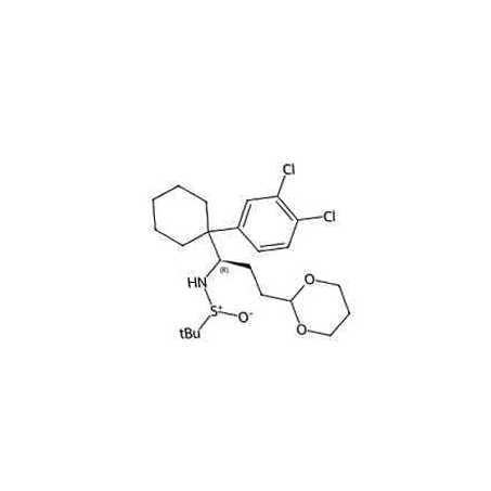 CC(C)(C)[S+]([O-])N[C@H](CCC1OCCCO1)C1(c2ccc(Cl)c(Cl)c2)CCCCC1